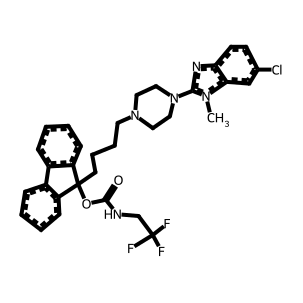 Cn1c(N2CCN(CCCCC3(OC(=O)NCC(F)(F)F)c4ccccc4-c4ccccc43)CC2)nc2ccc(Cl)cc21